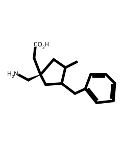 CC1C[C@@](CN)(CC(=O)O)CC1Cc1ccccc1